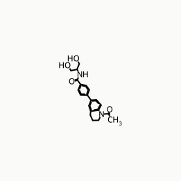 CC(=O)N1CCCc2cc(-c3ccc(C(=O)NC(CO)CO)cc3)ccc21